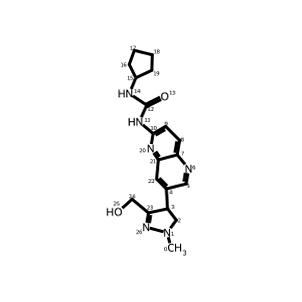 CN1CC(c2cnc3ccc(NC(=O)NC4CCCC4)nc3c2)C(CO)=N1